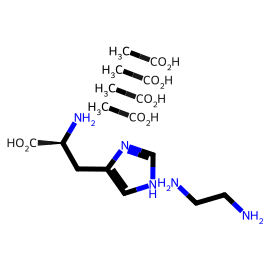 CC(=O)O.CC(=O)O.CC(=O)O.CC(=O)O.NCCN.N[C@@H](Cc1c[nH]cn1)C(=O)O